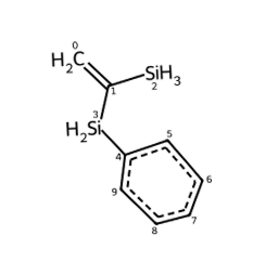 C=C([SiH3])[SiH2]c1ccccc1